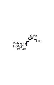 C=CCOc1cc(/C=C/C(=O)OC[C@H]2OC(OC)[C@H](O)[C@@H](O)[C@@H]2O)ccc1OC